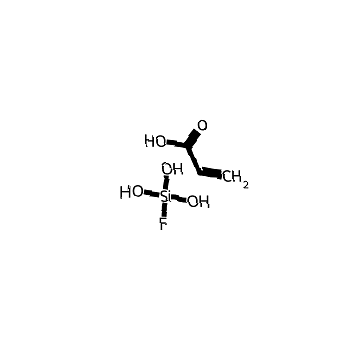 C=CC(=O)O.O[Si](O)(O)F